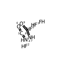 F.F.F.F.N=C=O.N=C=O